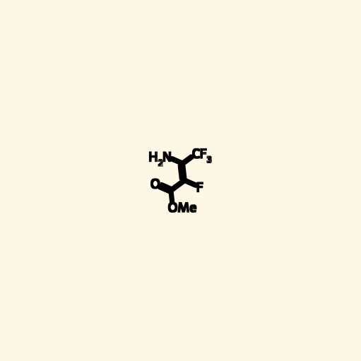 COC(=O)/C(F)=C(\N)C(F)(F)F